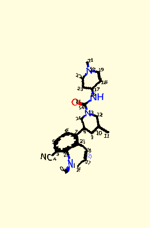 C=Nc1c(C#N)ccc(C2CC(C)CN(C(=O)NC3CCN(C)CC3)C2)c1/C=C\C